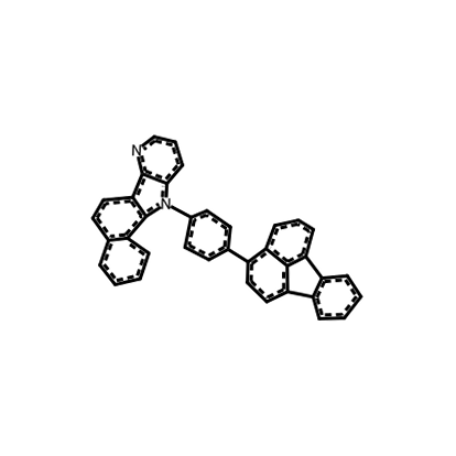 c1ccc2c(c1)-c1cccc3c(-c4ccc(-n5c6cccnc6c6ccc7ccccc7c65)cc4)ccc-2c13